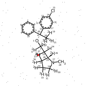 [2H]C([2H])(O[C@](c1ccccc1)(c1ccc(Cl)cc1)C([2H])([2H])[2H])C([2H])([2H])[C@]1([2H])N(C)C([2H])([2H])C([2H])([2H])C1([2H])[2H]